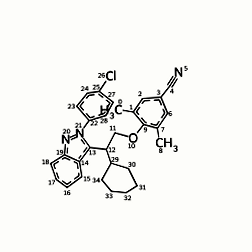 Cc1cc(C#N)cc(C)c1OCC(c1c2ccccc2nn1-c1ccc(Cl)cc1)C1CCCCC1